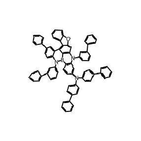 c1ccc(-c2ccc(N(c3ccc(-c4ccccc4)cc3)c3ccc4c(c3)N(c3cccc(-c5ccccc5)c3)c3cc5oc6ccccc6c5c5c3B4N(c3cccc(-c4ccccc4)c3)c3ccc(-c4ccccc4)cc3-5)cc2)cc1